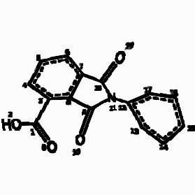 O=C(O)c1cccc2c1C(=O)N(c1ccccc1)C2=O